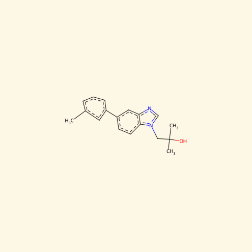 Cc1cccc(-c2ccc3c(c2)ncn3CC(C)(C)O)c1